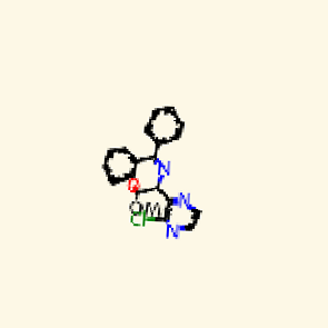 COC(=O)C(N=C(c1ccccc1)c1ccccc1)c1nccnc1Cl